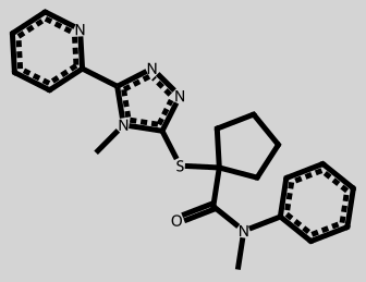 CN(C(=O)C1(Sc2nnc(-c3ccccn3)n2C)CCCC1)c1ccccc1